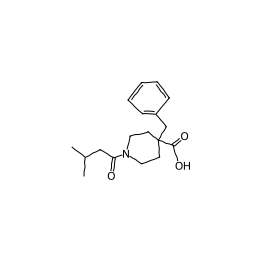 CC(C)CC(=O)N1CCC(Cc2ccccc2)(C(=O)O)CC1